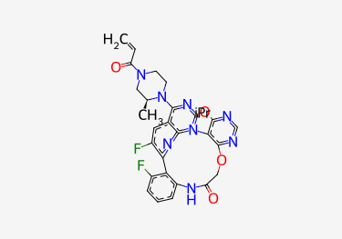 C=CC(=O)N1CCN(c2nc(=O)n3c4nc(c(F)cc24)-c2c(F)cccc2NC(=O)COc2ncnc(C(C)C)c2-3)[C@@H](C)C1